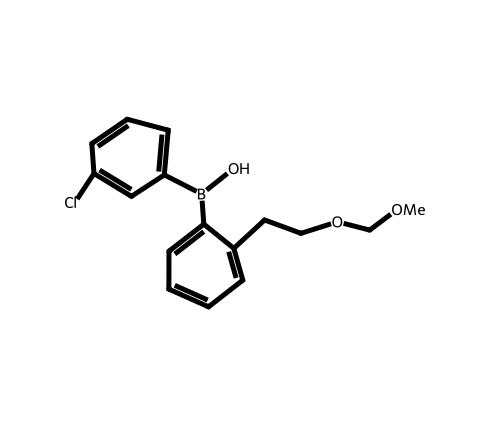 COCOCCc1ccccc1B(O)c1cccc(Cl)c1